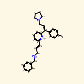 Cc1ccc(C(=CCN2CCCC2)c2cccc(C=CCNCc3ccccc3)n2)cc1